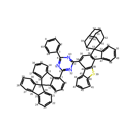 c1ccc(-c2nc(-c3cccc4c3-c3ccccc3C43c4ccccc4-c4ccccc43)nc(-c3cc4c(c5sc6ccccc6c35)-c3ccccc3C43C4CC5CC(C4)CC3C5)n2)cc1